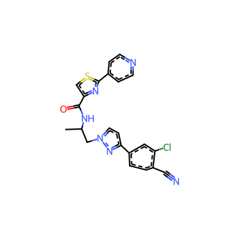 CC(Cn1ccc(-c2ccc(C#N)c(Cl)c2)n1)NC(=O)c1csc(-c2ccncc2)n1